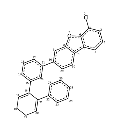 Clc1cccc2c1oc1cc(-c3cccc(C4=CCCC=C4c4ccccc4)c3)ccc12